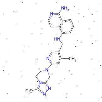 Cc1cc(N2CCn3c(nnc3C(F)(F)F)C2)ncc1CNc1cccc2c(N)nccc12